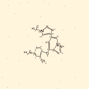 Cc1cc(N)ccc1Oc1cc(-c2cn(C)cn2)cn2nccc12